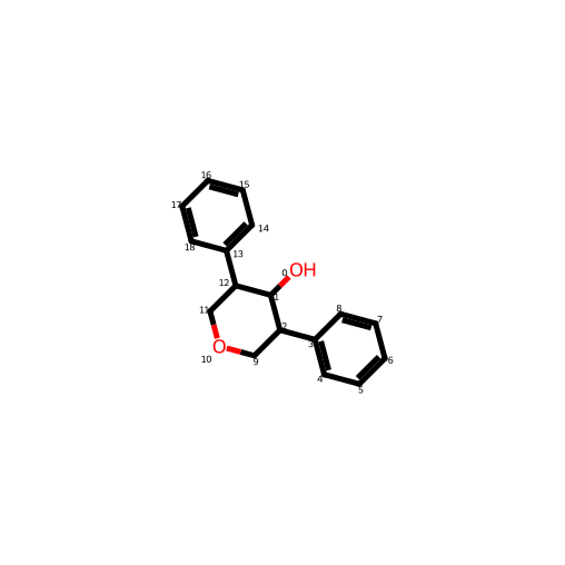 OC1C(c2ccccc2)COCC1c1ccccc1